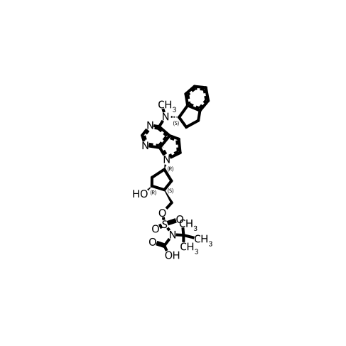 CN(c1ncnc2c1ccn2[C@@H]1C[C@@H](COS(=O)(=O)N(C(=O)O)C(C)(C)C)[C@H](O)C1)[C@H]1CCc2ccccc21